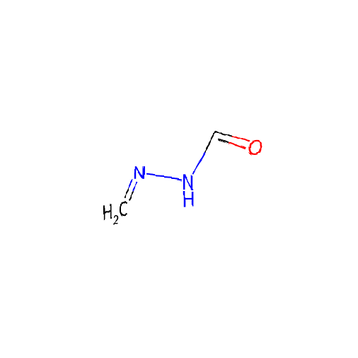 C=NNC=O